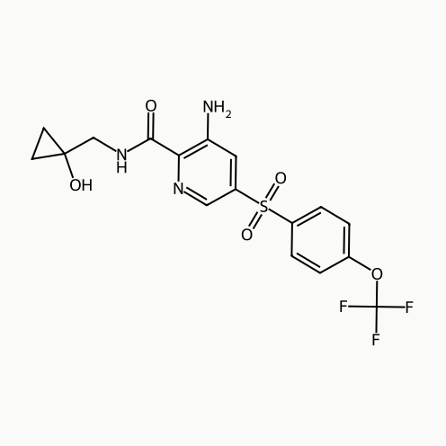 Nc1cc(S(=O)(=O)c2ccc(OC(F)(F)F)cc2)cnc1C(=O)NCC1(O)CC1